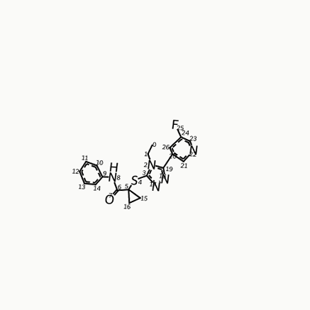 CCn1c(SC2(C(=O)Nc3ccccc3)CC2)nnc1-c1cncc(F)c1